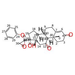 C[C@]12CCC(=O)C=C1CC[C@@H]1[C@@H]2C(=O)C[C@@]2(C)[C@H]1CC[C@]2(O)[C@]1(Oc2ccccc2)CO1